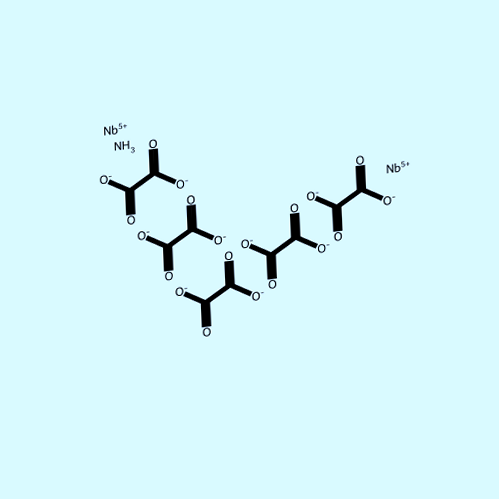 N.O=C([O-])C(=O)[O-].O=C([O-])C(=O)[O-].O=C([O-])C(=O)[O-].O=C([O-])C(=O)[O-].O=C([O-])C(=O)[O-].[Nb+5].[Nb+5]